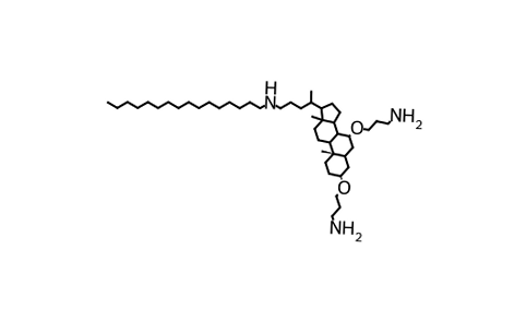 CCCCCCCCCCCCCCCCNCCCC(C)C1CCC2C3C(CCC12C)[C@@]1(C)CC[C@@H](OCCCN)CC1C[C@H]3OCCCN